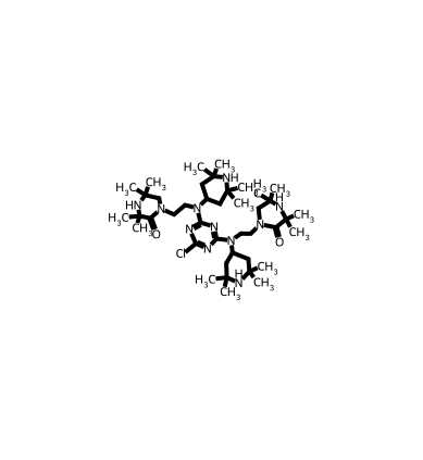 CC1(C)CC(N(CCN2CC(C)(C)NC(C)(C)C2=O)c2nc(Cl)nc(N(CCN3CC(C)(C)NC(C)(C)C3=O)C3CC(C)(C)NC(C)(C)C3)n2)CC(C)(C)N1